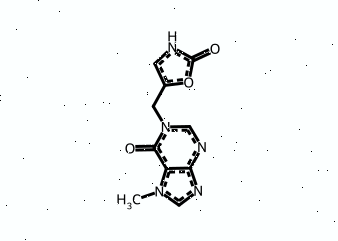 Cn1cnc2ncn(Cc3c[nH]c(=O)o3)c(=O)c21